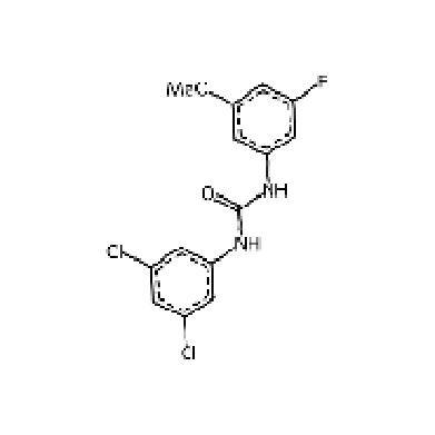 COc1cc(F)cc(NC(=O)Nc2cc(Cl)cc(Cl)c2)c1